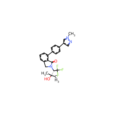 Cn1cc(-c2ccc(-c3cccc4c3C(=O)N([C@@H](C(C)(C)O)C(F)(F)F)C4)cc2)cn1